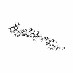 CN[C@H](C(=O)NC(C(=O)N(C)C/C=C(\C)C(=O)NCC(=O)NCCN(C)C(=O)C(CC=O)SCCC(=O)O)C(C)(C)C)C(C)(C)c1cn(C)c2ccccc12